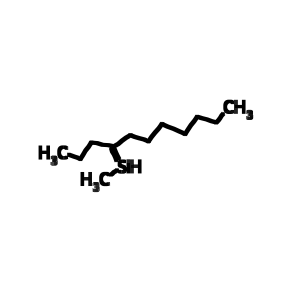 CCCCCCCC(CCC)=[SiH]C